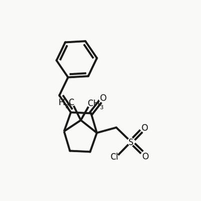 CC1(C)C2CCC1(CS(=O)(=O)Cl)C(=O)/C2=C\c1ccccc1